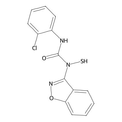 O=C(Nc1ccccc1Cl)N(S)c1noc2ccccc12